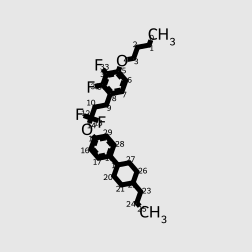 CCCCOc1ccc(CCC(F)(F)Oc2ccc(C3CCC(CCC)CC3)cc2)c(F)c1F